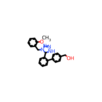 COc1ccccc1CN1N=NNC1c1ccccc1-c1ccc(CO)cc1